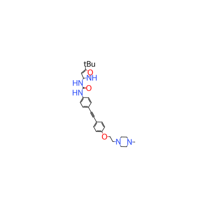 CN1CCN(CCOc2ccc(C#Cc3ccc(NC(=O)NC4C=C(C(C)(C)C)ON4)cc3)cc2)CC1